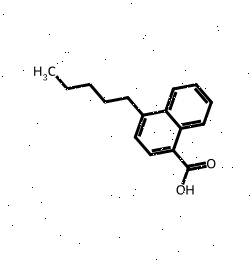 CCCCCc1ccc(C(=O)O)c2ccccc12